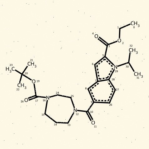 CCOC(=O)c1cc2cc(C(=O)N3CCCN(C(=O)OC(C)(C)C)CC3)ccc2n1C(C)C